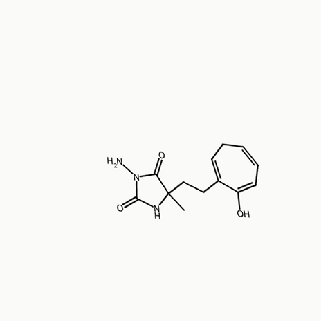 CC1(CCC2=CCC=CC=C2O)NC(=O)N(N)C1=O